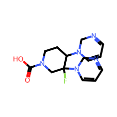 O=C(O)N1CCC(N2C=CC=NC2)C(F)(N2C=CC=NC2)C1